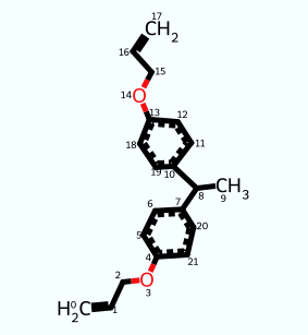 C=CCOc1ccc(C(C)c2ccc(OCC=C)cc2)cc1